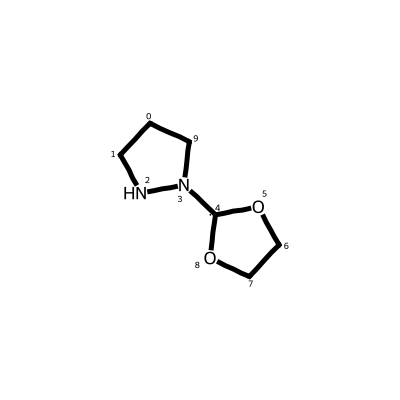 C1CNN([C]2OCCO2)C1